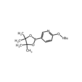 CCCCOc1ccc(B2OC(C)(C)C(C)(C)O2)cn1